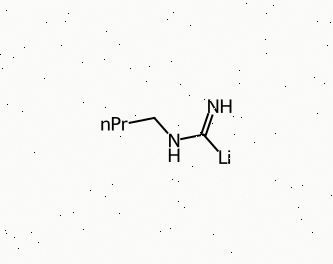 [Li][C](=N)NCCCC